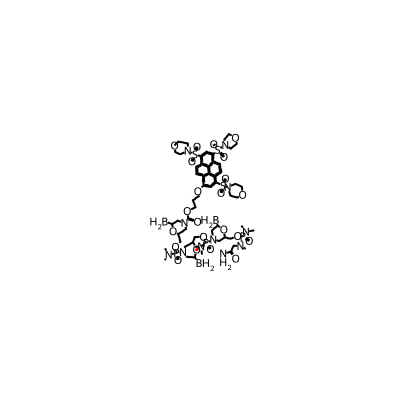 BC1CN(C(=O)OCCCOc2cc(S(=O)(=O)N3CCOCC3)c3ccc4c(S(=O)(=O)N5CCOCC5)cc(S(=O)(=O)N5CCOCC5)c5ccc2c3c54)CC(COP(=O)(N(C)C)N2CC(B)OC(COP(=O)(N(C)C)N3CC(B)OC(COP(=O)(N(C)C)N(C)CC(N)=O)C3)C2)O1